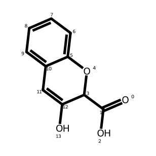 O=C(O)C1Oc2ccccc2C=C1O